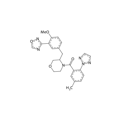 COc1ccc(CC2COCCN2C(=O)c2cc(C)ccc2-n2nccn2)cc1-c1ncon1